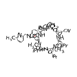 Cc1cccc(Cn2cc(C[C@H]3C(=O)N[C@@H](CC(C)C)C(=O)N(C)[C@@H](C)C(=O)O[C@H](CCC#N)C(=O)N[C@@H](CC(C)C)C(=O)N(C)[C@@H](CCC(C)C)C(=O)N[C@@H](CC(C)C)C(=O)N3C)c3ccccc32)n1